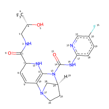 O=C(NC[C@@H](O)C(F)(F)F)C1C=CC2=C(N1)N(C(=O)Nc1ccc(F)cn1)[C@H]1CCN2C1